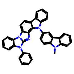 Cn1c2ccccc2c2cc(-n3c4ccccc4c4ccc5c(nc6n(-c7ccccc7)c7ccccc7n56)c43)ccc21